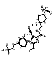 CCc1nc(C(=O)NC[C@]2(O)CC[C@@H](S(C)(=O)=O)CC2)c(C#N)n1-c1ccc(CCC(F)(F)F)cc1F